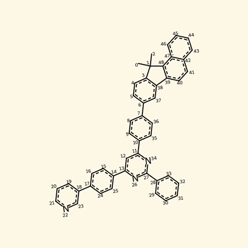 CC1(C)c2ccc(-c3ccc(-c4cc(-c5ccc(-c6cccnc6)cc5)nc(-c5ccccc5)n4)cc3)cc2-c2ccc3ccccc3c21